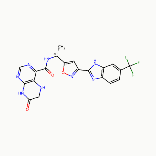 C[C@@H](NC(=O)c1ncnc2c1NCC(=O)N2)c1cc(-c2nc3ccc(C(F)(F)F)cc3[nH]2)no1